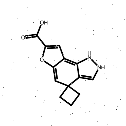 O=C(O)c1cc2c(o1)=CC1(CCC1)C1=CNNC=21